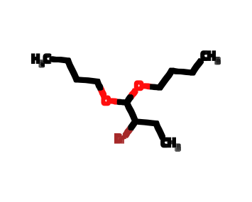 CCCCOC(OCCCC)C(Br)CC